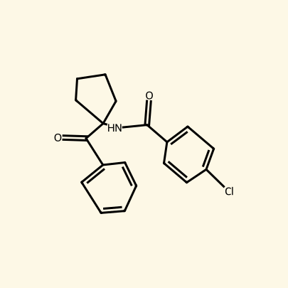 O=C(NC1(C(=O)c2ccccc2)CCCC1)c1ccc(Cl)cc1